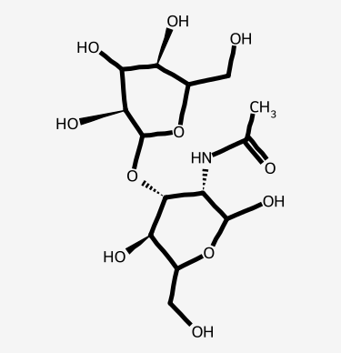 CC(=O)N[C@@H]1C(O)OC(CO)[C@@H](O)[C@@H]1OC1OC(CO)[C@H](O)C(O)[C@@H]1O